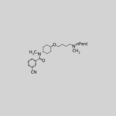 CCCCCN(C)CCCCO[C@H]1CC[C@H](N(C)C(=O)c2cccc(C#N)c2)CC1